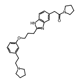 O=C(Cc1ccc2[nH]c(CCCOc3cccc(CCN4CCCC4)c3)nc2c1)N1CCCC1